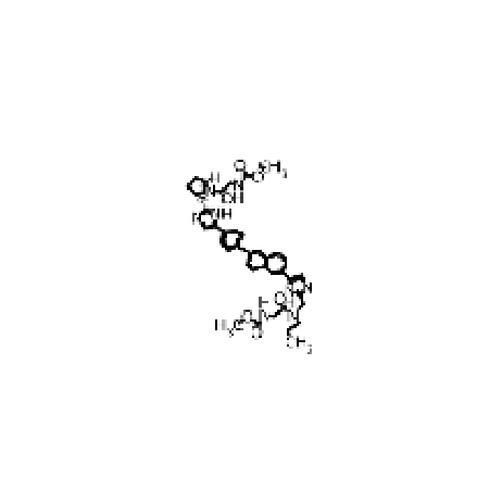 CCCN(Cc1ncc(-c2ccc3cc(-c4ccc(-c5cnc([C@@H]6C7CC[C@H](C7)N6C(=O)CNC(=O)OC)[nH]5)cc4)ccc3c2)[nH]1)C(=O)CNC(=O)OC